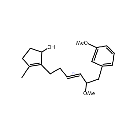 COc1cccc(CC(/C=C/CCC2=C(C)CCC2O)OC)c1